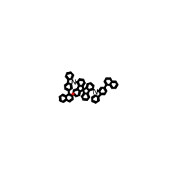 c1ccc2c(c1)-c1c(-n3c4ccccc4c4ccc(-c5cccc6ccccc56)cc43)cccc1C21c2ccccc2-c2c(-n3c4ccccc4c4ccc(-c5cccc6ccccc56)cc43)cccc21